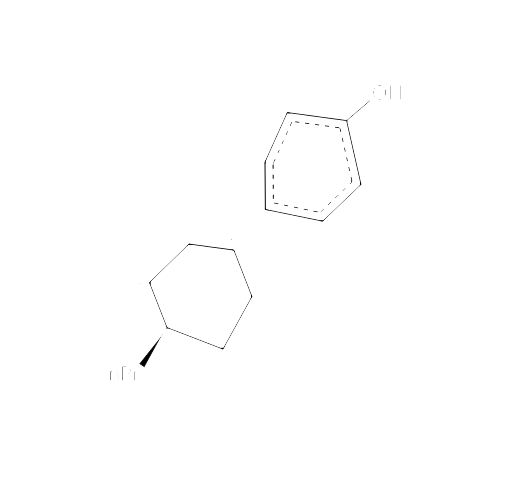 CCC[C@H]1CC[C@H](c2ccc(O)cc2)CC1